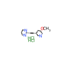 COc1cncc(C#Cc2ncccn2)c1.Cl.Cl